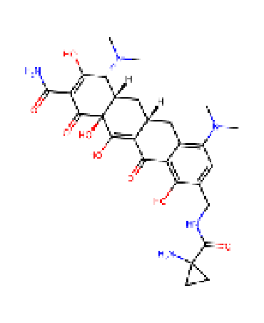 CN(C)c1cc(CNC(=O)C2(N)CC2)c(O)c2c1C[C@H]1C[C@H]3[C@@H](N(C)C)C(O)=C(C(N)=O)C(=O)[C@@]3(O)C(O)=C1C2=O